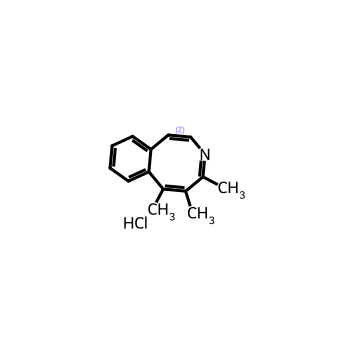 CC1=N/C=C\c2ccccc2C(C)=C1C.Cl